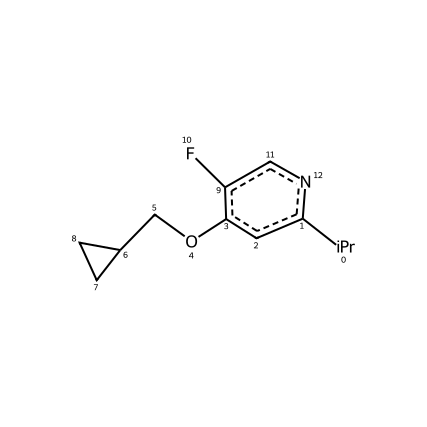 CC(C)c1cc(OCC2CC2)c(F)cn1